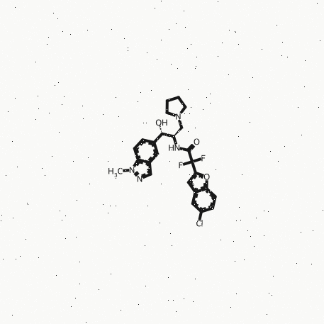 Cn1ncc2cc([C@H](O)[C@@H](CN3CCCC3)NC(=O)C(F)(F)c3cc4cc(Cl)ccc4o3)ccc21